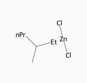 [CH2]CC(C)CCC.[Cl][Zn][Cl]